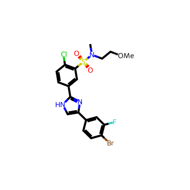 COCCN(C)S(=O)(=O)c1cc(-c2nc(-c3ccc(Br)c(F)c3)c[nH]2)ccc1Cl